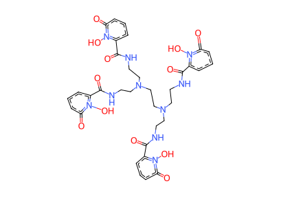 O=C(NCCN(CCNC(=O)c1cccc(=O)n1O)CCN(CCNC(=O)c1cccc(=O)n1O)CCNC(=O)c1cccc(=O)n1O)c1cccc(=O)n1O